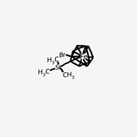 C[Si](C)(C)[C]12[CH]3[CH]4[CH]5[CH]1[Fe]45321678[CH]2[CH]1[CH]6[C]7(Br)[CH]28